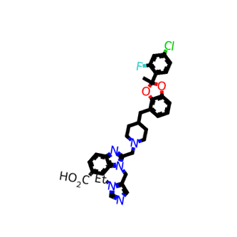 CCn1cncc1Cn1c(CN2CCC(Cc3cccc4c3OC(C)(c3ccc(Cl)cc3F)O4)CC2)nc2ccc(C(=O)O)cc21